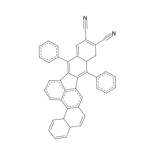 N#CC1=C(C#N)CC2C(=C1)C(c1ccccc1)=C1C(=C2c2ccccc2)c2cc3c(c4cccc1c24)C1C=CC=CC1C=C3